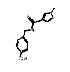 Cn1cc(C(=O)NCc2ccc(C(=O)O)cc2)cn1